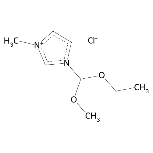 CCOC(OC)n1cc[n+](C)c1.[Cl-]